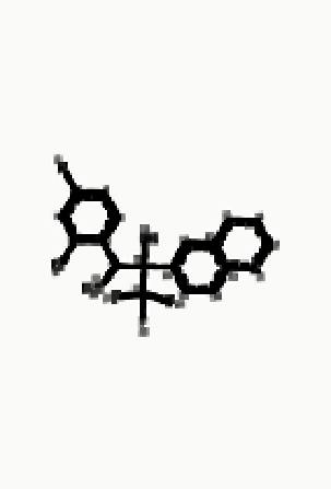 CC(c1ccc(F)cc1Cl)C(O)(c1ccc2ncccc2c1)C(F)(F)F